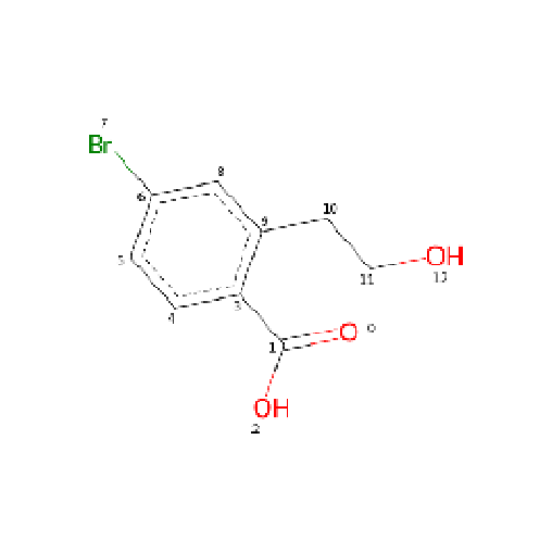 O=C(O)c1ccc(Br)cc1CCO